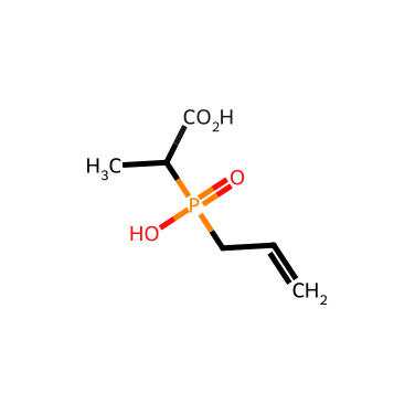 C=CCP(=O)(O)C(C)C(=O)O